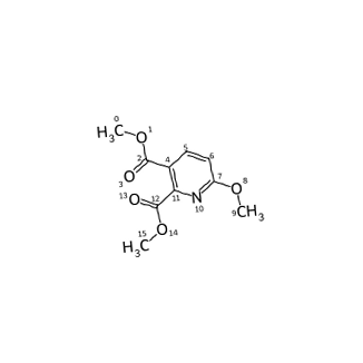 COC(=O)c1ccc(OC)nc1C(=O)OC